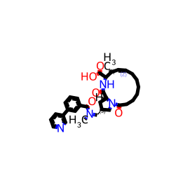 C[C@H]1/C=C\CCCCCCC(=O)N2C[C@H](CN(C)C(=O)c3cccc(-c4cccnc4)c3)C[C@H]2C(=O)NC1C(=O)O